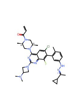 C=CC(=O)N1C[C@@H](C)N(c2nc(N3CC(N(C)C)C3)nc3c(F)c(-c4cc(N/N=C(\C)C5CC5)ccc4C)c(Cl)cc23)C[C@H]1C